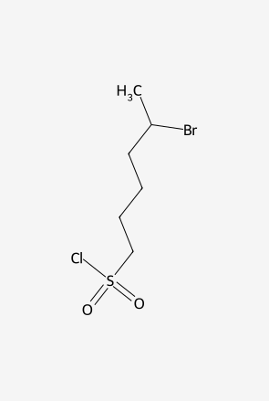 CC(Br)CCCCS(=O)(=O)Cl